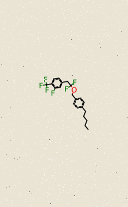 CCCCCc1ccc(COC(F)(F)Cc2ccc(C(F)(F)F)c(F)c2)cc1